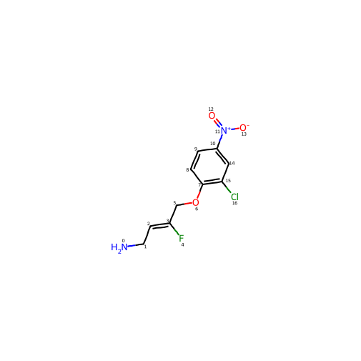 NCC=C(F)COc1ccc([N+](=O)[O-])cc1Cl